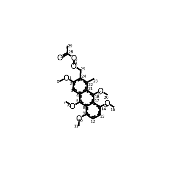 COc1cc2c(OC)c3c(OC)ccc(OC)c3c(OC)c2c(C)c1COOC(C)=O